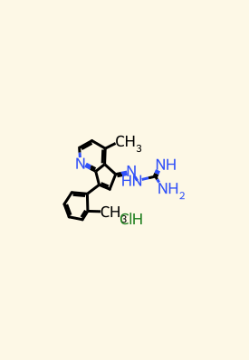 Cc1ccccc1C1=CC(=NNC(=N)N)c2c(C)ccnc21.Cl